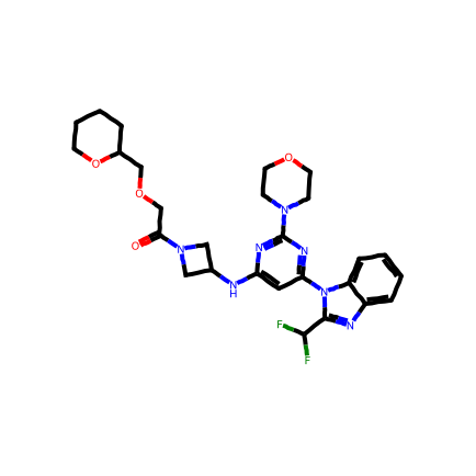 O=C(COCC1CCCCO1)N1CC(Nc2cc(-n3c(C(F)F)nc4ccccc43)nc(N3CCOCC3)n2)C1